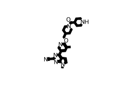 Cc1cc(-c2nc(C#N)nc3c2ccn3C)cnc1OCC1CCN(C(=O)C2CCNCC2)CC1